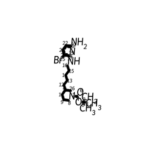 CC(C)(C)OC(=O)N1CCCC(CCCCCNc2nc(N)ccc2Br)C1